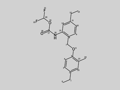 CCc1ccc(OCc2ccc(CC)cc2NC(=O)OC(F)F)c(C)c1